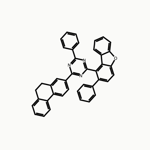 c1ccc(-c2nc(-c3ccc4c(c3)CCc3ccccc3-4)nc(-c3c(-c4ccccc4)ccc4oc5ccccc5c34)n2)cc1